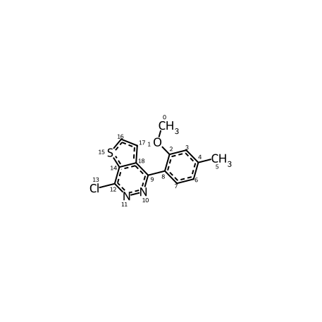 COc1cc(C)ccc1-c1nnc(Cl)c2sccc12